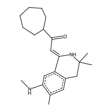 CNc1cc2c(cc1C)CC(C)(C)N/C2=C\C(=O)C1CCCCCC1